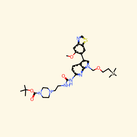 COc1cc2ncsc2cc1-c1cn(COCC[Si](C)(C)C)c2nc(NC(=O)NCCN3CCN(C(=O)OC(C)(C)C)CC3)ccc12